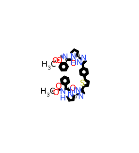 COO/C=N\[C@@H](C(=O)N1CCC[C@H]1c1ncc(-c2ccc(-c3ccc(-c4cnc([C@@H]5CCCN5C(=O)[C@@H](NC(=O)OC)c5ccccc5)[nH]4)s3)cc2)[nH]1)c1ccccc1